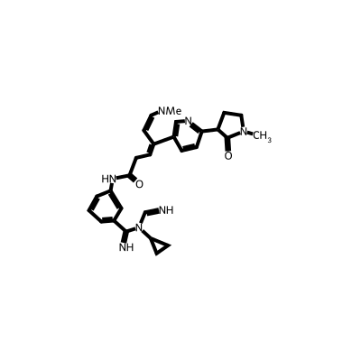 CN/C=C\C(=C/CC(=O)Nc1cccc(C(=N)N(C=N)C2CC2)c1)c1ccc(C2CCN(C)C2=O)nc1